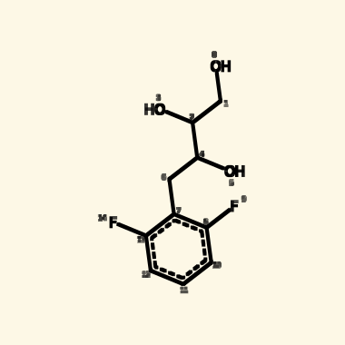 OCC(O)C(O)Cc1c(F)cccc1F